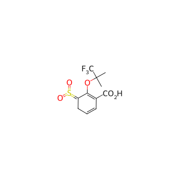 CC(C)(OC1=C(C(=O)O)C=CCC1=S(=O)=O)C(F)(F)F